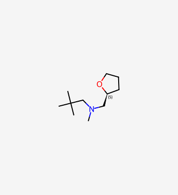 CN(C[C@@H]1CCCO1)CC(C)(C)C